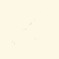 CN(C)c1ccc(C(=O)c2cc3ccccc3oc2=O)cc1